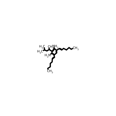 CCCCC/C=C/c1cc(/C=C/CCCCC)c(N)c(C(C)CC(C)C)c1N